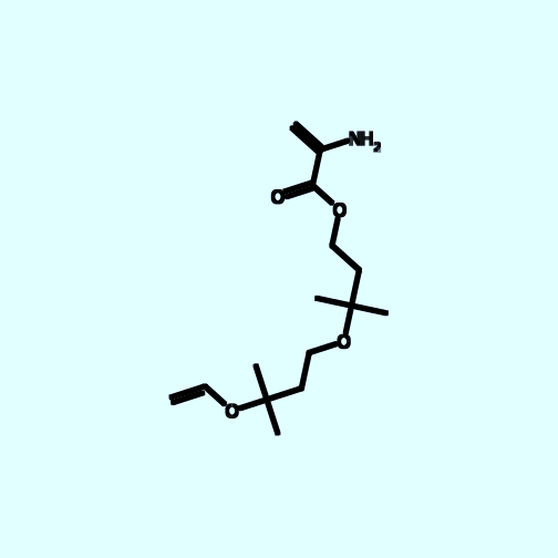 C=COC(C)(C)CCOC(C)(C)CCOC(=O)C(=C)N